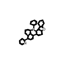 c1ccc(N2c3cccc4c(-c5ccccn5)ccc(c34)-c3ccc4oc5ccccc5c4c32)cc1